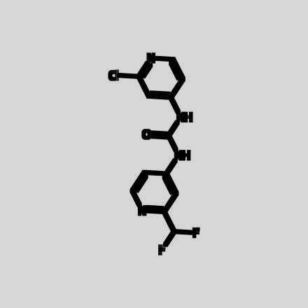 O=C(Nc1ccnc(Cl)c1)Nc1ccnc(C(F)F)c1